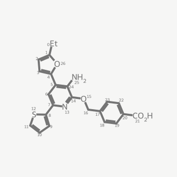 CCc1ccc(-c2cc(-c3cccs3)nc(OCc3ccc(C(=O)O)cc3)c2N)o1